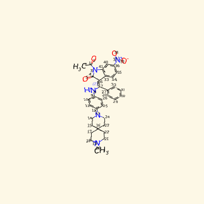 CC(=O)N1C(=O)/C(=C(\Nc2ccc(N3CCC4(CCN(C)CC4)CC3)cc2)c2ccccc2)c2ccc([N+](=O)[O-])cc21